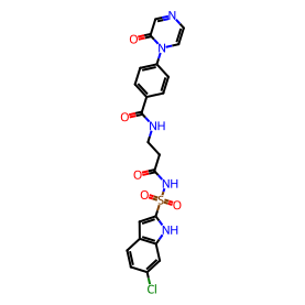 O=C(CCNC(=O)c1ccc(-n2ccncc2=O)cc1)NS(=O)(=O)c1cc2ccc(Cl)cc2[nH]1